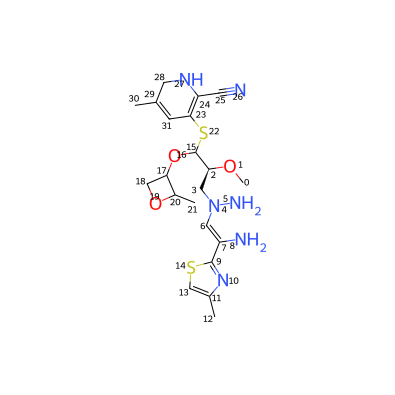 CO[C@@H](CN(N)/C=C(\N)c1nc(C)cs1)C(OC1COC1C)SC1=C(C#N)NCC(C)=C1